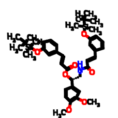 COc1ccc([C@@H](CNC(=O)/C=C/c2cccc(O[Si](C)(C)C(C)(C)C)c2)OC(=O)/C=C/c2cccc(O[Si](C)(C)C(C)(C)C)c2)cc1OC